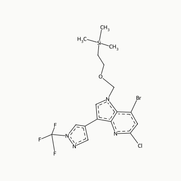 C[Si](C)(C)CCOCn1cc(-c2cnn(C(F)(F)F)c2)c2nc(Cl)cc(Br)c21